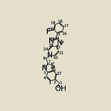 OCc1ccc2nc(Cn3ccc4nc(-c5ccccc5F)nc-4c3)sc2c1